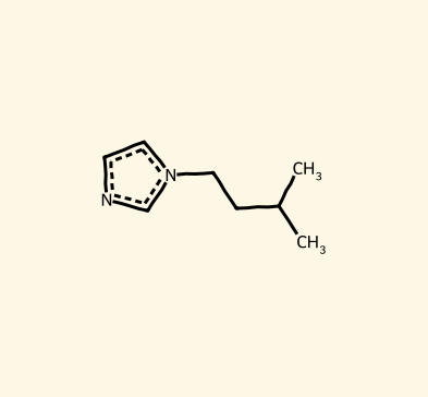 CC(C)CCn1ccnc1